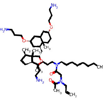 C=CCN(CC(=O)N(CCCCCCCC)CCC[C@@H](C)[C@H]1CC[C@@H](C)C1(C)[C@H](C[C@H]1C[C@H](OCCCN)CC2C[C@H](OCCCN)CCC21C)OCCCN)C(C)=O